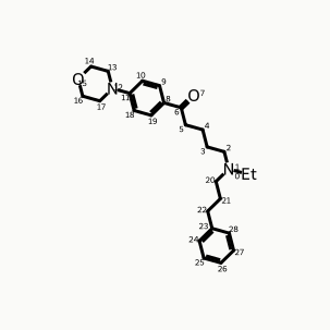 CCN(CCCCC(=O)c1ccc(N2CCOCC2)cc1)CCCc1ccccc1